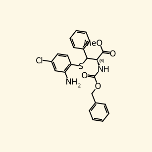 COC(=O)[C@@H](NC(=O)OCc1ccccc1)C(Sc1ccc(Cl)cc1N)c1ccccc1